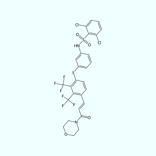 O=C(C=Cc1ccc(Sc2cccc(NS(=O)(=O)c3c(Cl)cccc3Cl)c2)c(C(F)(F)F)c1C(F)(F)F)N1CCOCC1